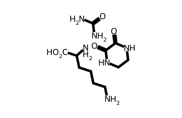 NC(N)=O.NCCCCC(N)C(=O)O.O=C1NCCNC1=O